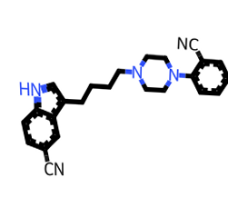 N#Cc1ccc2[nH]cc(CCCCN3CCN(c4ccccc4C#N)CC3)c2c1